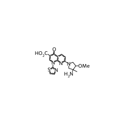 COC1CN(c2ccc3c(=O)c(C(=O)O)cn(-c4nccs4)c3n2)CC1(C)N